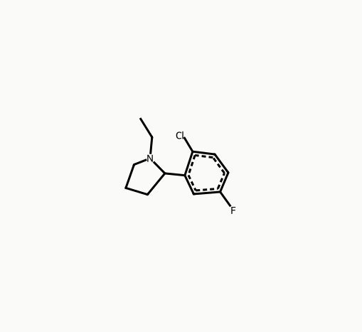 CCN1CCCC1c1cc(F)ccc1Cl